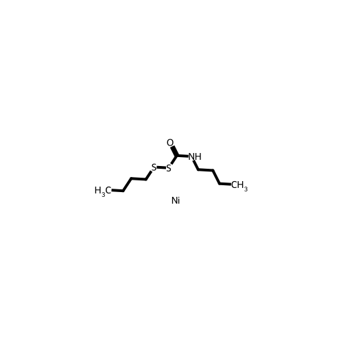 CCCCNC(=O)SSCCCC.[Ni]